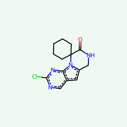 O=C1NCc2cc3cnc(Cl)nc3n2C12CCCCC2